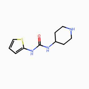 O=C(Nc1cccs1)NC1CCNCC1